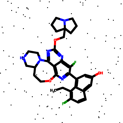 CCc1c(F)ccc2cc(O)cc(-c3nc4c5c(nc(OCC67CCCN6CCC7)nc5c3F)N3CCNCC3CCO4)c12